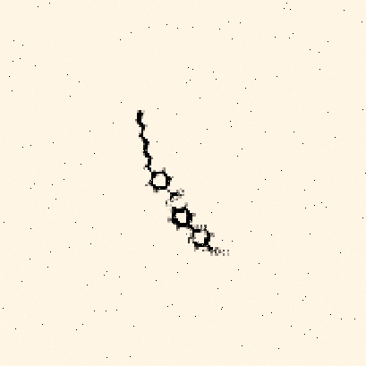 C=CCCCCCC[C@H]1CC[C@H](C(=O)Oc2ccc(-c3ncc(CCCCCCCCCC)cn3)cc2)CC1